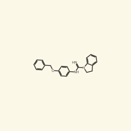 N=C(Nc1ccc(OCc2ccccc2)cc1)N1CCc2ccccc21